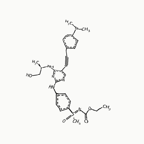 CCOC(=O)N=[S@@](C)(=O)c1ccc(Nc2ncc(C#Cc3ccc(N(C)C)cc3)c(N[C@H](C)CO)n2)cc1